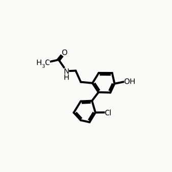 CC(=O)NCCc1ccc(O)cc1-c1ccccc1Cl